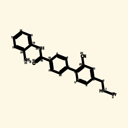 CC(C)NCc1cnc(-c2ccc(C(=O)Nc3ccccc3N)cc2)c(C#N)c1